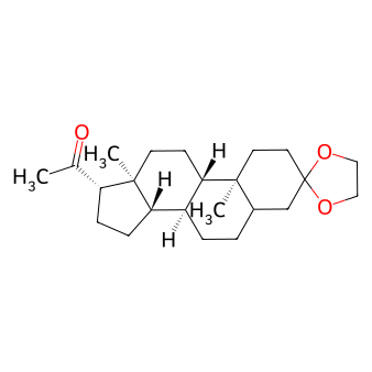 CC(=O)[C@H]1CC[C@H]2[C@@H]3CCC4CC5(CC[C@]4(C)[C@H]3CC[C@]12C)OCCO5